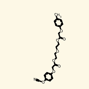 Cc1ccc(OCC(=O)OCCOCCOC(=O)COc2ccc(OC#N)cc2)cc1